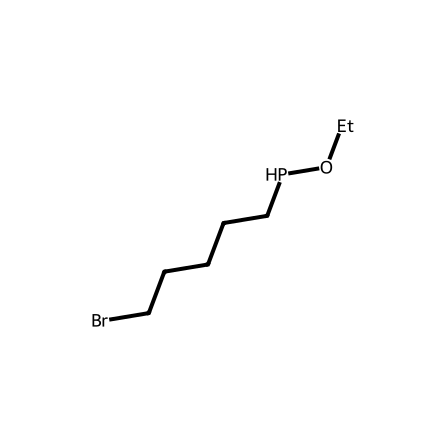 CCOPCCCCCBr